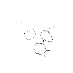 Cc1nc([C@H]2CC[C@@H](C(F)(F)F)CC2)c(-c2ccc(C(F)(F)F)nc2)c(=O)[nH]1